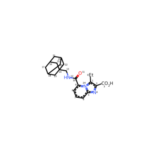 CCc1c(C(=O)O)nc2cccc(C(=O)NCC34CC5CC(CC(C5)C3)C4)n12